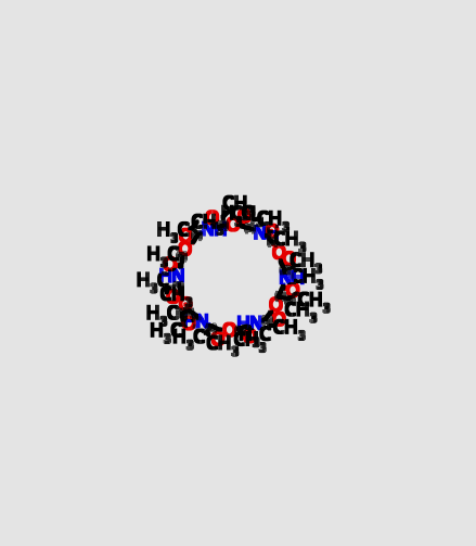 CC[C@H](C)[C@H]1OC(=O)[C@H](C(C)C)NC(=O)[C@H](C)OC(=O)[C@@H](C(C)C)NC(=O)[C@@H]([C@@H](C)CC)OC(=O)[C@H](C(C)C)NC(=O)[C@H](C)OC(=O)[C@@H](C(C)C)NC(=O)[C@@H](CC(C)C)OC(=O)[C@H](C(C)C)NC(=O)[C@H](C)OC(=O)[C@@H](C(C)C)NC1=O